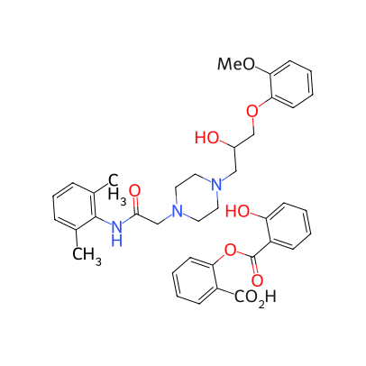 COc1ccccc1OCC(O)CN1CCN(CC(=O)Nc2c(C)cccc2C)CC1.O=C(Oc1ccccc1C(=O)O)c1ccccc1O